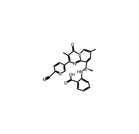 Cc1cc([C@@H](C)Nc2ccccc2C(=O)O)c2nc(-c3ccc(C#N)nc3)c(C)c(=O)n2c1